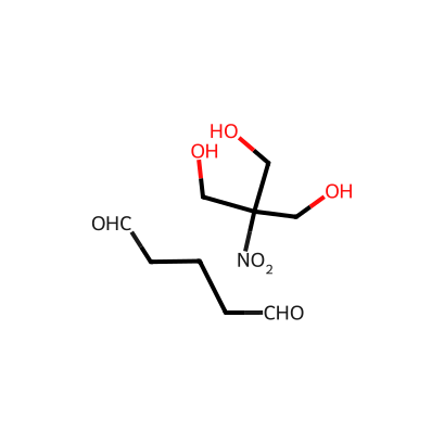 O=CCCCC=O.O=[N+]([O-])C(CO)(CO)CO